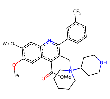 COC(=O)c1c(C[N+]2(C3CCNCC3)CCCCC2)c(-c2cccc(C(F)(F)F)c2)nc2cc(OC)c(OC(C)C)cc12